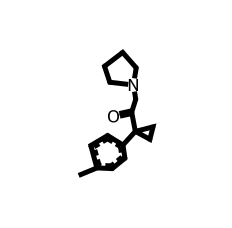 Cc1ccc(C2(C(=O)CN3CCCC3)CC2)cc1